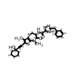 Cc1c(C#CC2(O)CCCCC2)sc2c1SC[C@H](NC(=O)c1nnc(Cc3ccccc3)[nH]1)C(=O)N2C